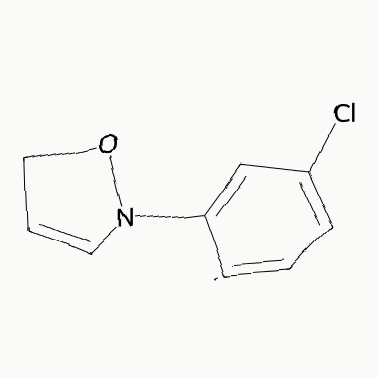 Clc1cc[c]c(N2C=CCO2)c1